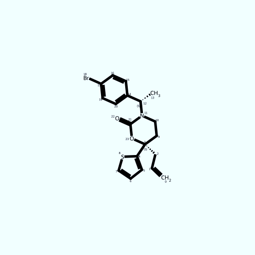 C=CC[C@@]1(c2cccs2)CCN([C@@H](C)c2ccc(Br)cc2)C(=O)O1